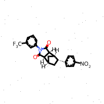 O=C1[C@@H]2[C@H]3C[C@@H]([C@@H]2C(=O)N1c1cccc(C(F)(F)F)c1)[C@H](c1ccc([N+](=O)[O-])cc1)C3